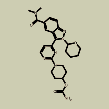 CN(C)C(=O)c1ccc2nn(C3CCCCO3)c(-c3ccnc(N4CCC(OC(N)=O)CC4)n3)c2c1